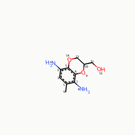 Cc1cc(N)c2c(c1N)OC(CO)CO2